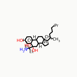 CCC(N)(CC)[C@@]1(O)C[C@H]2[C@@H]3CC[C@H]([C@H](C)CCCC(C)C)[C@@]3(C)CC[C@@H]2[C@@]2(C)CC[C@H](O)C[C@@]21O